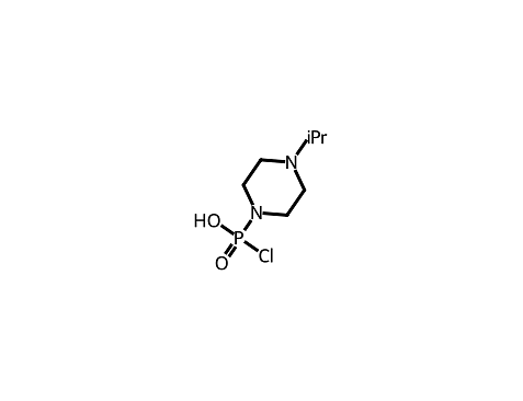 CC(C)N1CCN(P(=O)(O)Cl)CC1